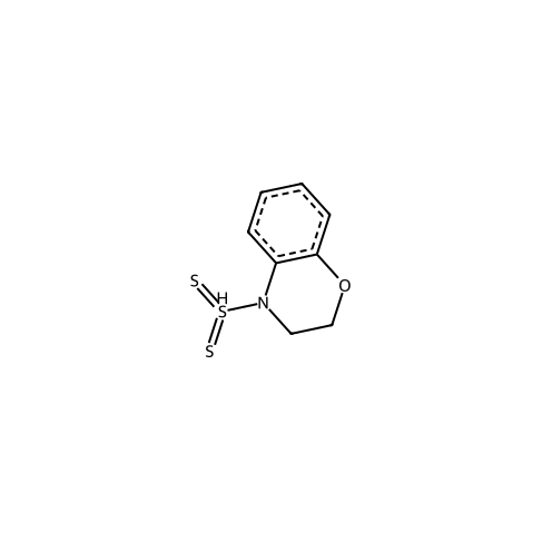 S=[SH](=S)N1CCOc2ccccc21